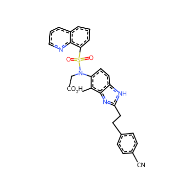 Cc1c(N(CC(=O)O)S(=O)(=O)c2cccc3cccnc23)ccc2[nH]c(CCc3ccc(C#N)cc3)nc12